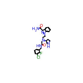 NC(=O)c1nn(CCN(CC(=O)NCc2cccc(Cl)c2F)C2CCNC2)c2ccccc12